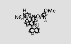 CO[C@@H]1C[C@@H](COc2nc(N3CCN[C@@H](CC#N)C3)c3c(cc(-c4cccc5cccc(Cl)c45)c4ccoc43)n2)N(C)C1